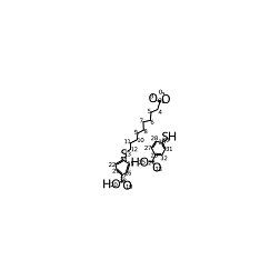 COC(=O)CCCCCCCCCSc1ccc(C(=O)O)cc1.O=C(O)c1ccc(S)cc1